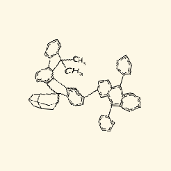 CC1(C)c2ccccc2-c2ccc3c(c21)-c1cc(-c2ccc4c(-c5ccccc5)c5ccccc5c(-c5ccccc5)c4c2)ccc1C31C2CC3CC(C2)CC1C3